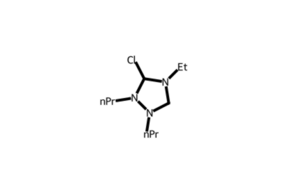 CCCN1CN(CC)C(Cl)N1CCC